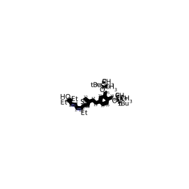 CC/C(=C/C=C/C(O)(CC)CC)c1cc(CCc2ccc(CO[Si](C)(C)C(C)(C)C)c(CO[Si](C)(C)C(C)(C)C)c2)cs1